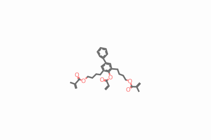 C=CC(=O)Oc1c(CCCCOC(=O)C(=C)C)cc(-c2ccccc2)cc1CCCCOC(=O)C(=C)C